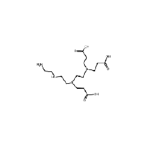 NCCNCCN(CCC(=O)O)CCN(CCC(=O)O)CCC(=O)O